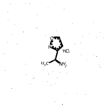 CC(N)c1ccon1.Cl